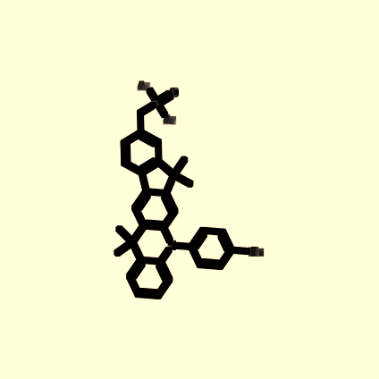 CC(=O)P(=O)(Cc1ccc2c(c1)C(C)(C)c1cc3c(cc1-2)C(C)(C)c1ccccc1N3c1ccc(C(C)(C)C)cc1)C(C)=O